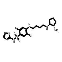 N[C@H]1CCC[C@@H]1NCCCCNc1cc(F)c(S(=O)(=O)Nc2ncns2)cc1Cl